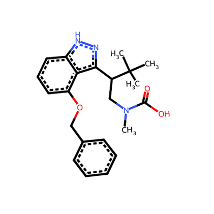 CN(CC(c1n[nH]c2cccc(OCc3ccccc3)c12)C(C)(C)C)C(=O)O